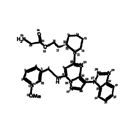 CO[n+]1cccc(CNc2cc(N3CCCC[C@H]3CCOC(=O)CN)nc3c(-n4nnc5ccccc54)cnn23)c1